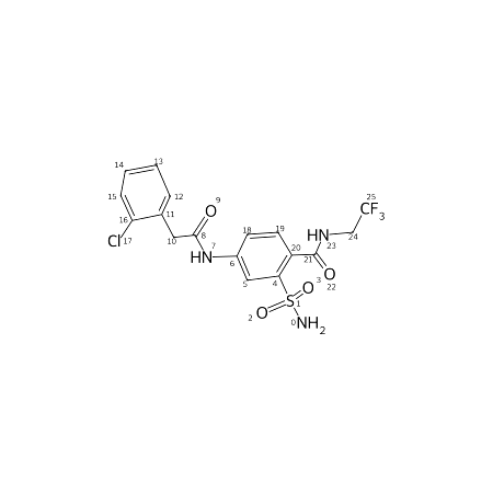 NS(=O)(=O)c1cc(NC(=O)Cc2ccccc2Cl)ccc1C(=O)NCC(F)(F)F